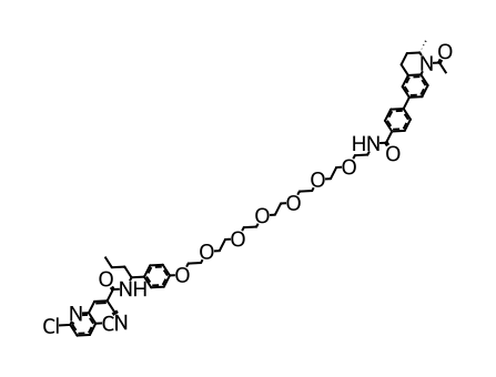 CCCC(NC(=O)/C(C#N)=C/c1nc(Cl)ccc1Cl)c1ccc(OCCOCCOCCOCCOCCOCCOCCNC(=O)c2ccc(-c3ccc4c(c3)CC[C@H](C)N4C(C)=O)cc2)cc1